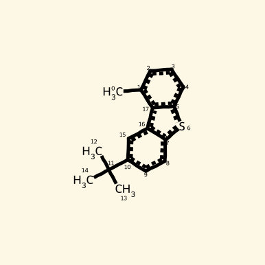 Cc1cccc2sc3ccc(C(C)(C)C)cc3c12